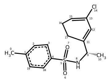 Cc1ccc(S(=O)(=O)N[C@@H](C)C2=CC(Cl)=CC[CH]2)cc1